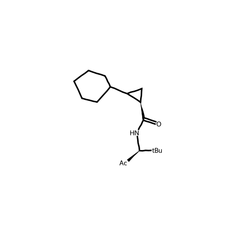 CC(=O)[C@@H](NC(=O)[C@@H]1CC1C1CCCCC1)C(C)(C)C